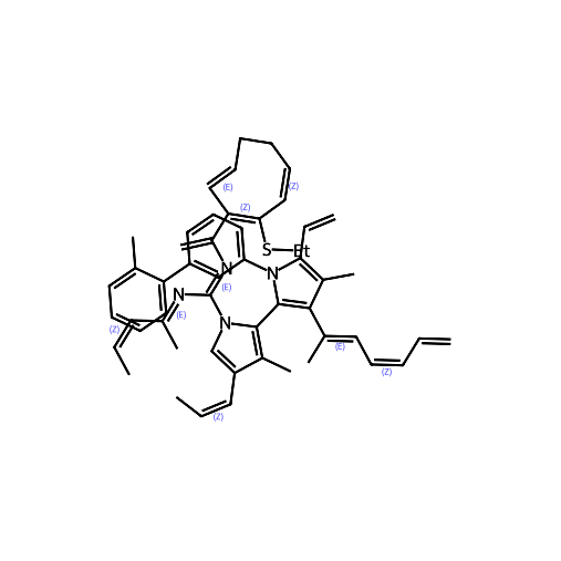 C=C/C=C\C=C(/C)c1c(C)c(C=C)n(-c2cccc(-c3ccccc3C)c2)c1-c1c(C)c(/C=C\C)cn1C(/N=C(C)/C=C\C)=N/C(=C)C1=C(SCC)/C=C\CC\C=C\1